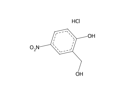 Cl.O=[N+]([O-])c1ccc(O)c(CO)c1